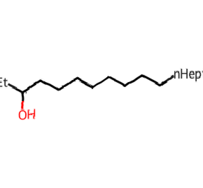 CCCCCCCCCCCCCCC[C](O)CC